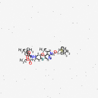 COC(=O)C(Cc1ccc(Oc2ccnc3c2c(C)cn3COCCS(C)(C)C)c(F)c1)NC(=O)OC(C)(C)C